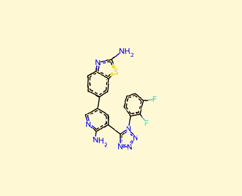 Nc1nc2ccc(-c3cnc(N)c(-c4nnnn4-c4cccc(F)c4F)c3)cc2s1